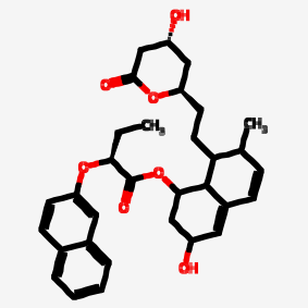 CC[C@H](Oc1ccc2ccccc2c1)C(=O)OC1CC(O)C=C2C=CC(C)C(CC[C@@H]3C[C@@H](O)CC(=O)O3)C21